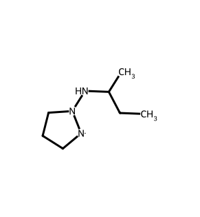 CCC(C)NN1CCC[N]1